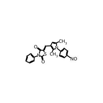 Cc1cc(C=C2SC(=O)N(c3ccccc3)C2=O)c(C)n1-c1ccc(N=O)cc1